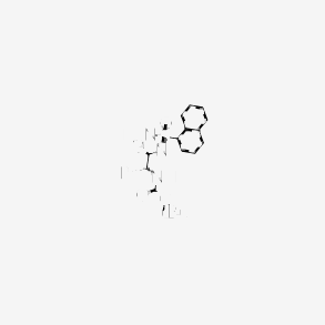 CC(C)[C@H](NC(=O)OC(C)(C)C)C(=O)N=S(N)(=O)c1cccc2ccccc12